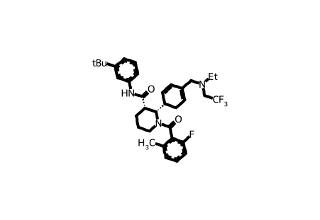 CCN(CC1=CCC([C@H]2[C@@H](C(=O)Nc3cccc(C(C)(C)C)c3)CCCN2C(=O)c2c(C)cccc2F)C=C1)CC(F)(F)F